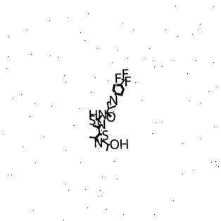 Cc1nc(C(C)O)sc1-c1csc(NC(=O)C2CN(c3ccc(C(F)(F)F)cc3)C2)n1